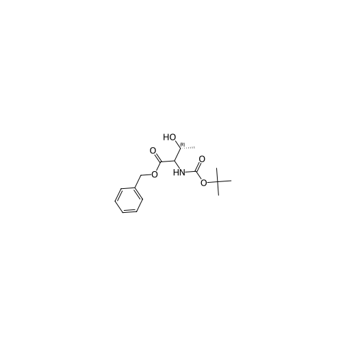 C[C@@H](O)C(NC(=O)OC(C)(C)C)C(=O)OCc1ccccc1